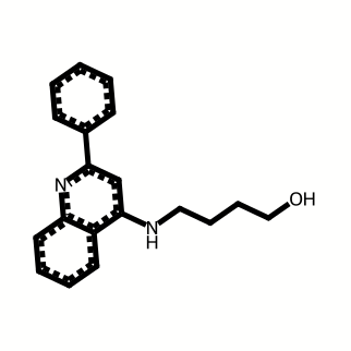 OCCCCNc1cc(-c2ccccc2)nc2ccccc12